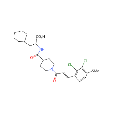 CSc1ccc(C=CC(=O)N2CCC(C(=O)NC(CC3CCCCC3)C(=O)O)CC2)c(Cl)c1Cl